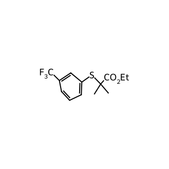 CCOC(=O)C(C)(C)Sc1cccc(C(F)(F)F)c1